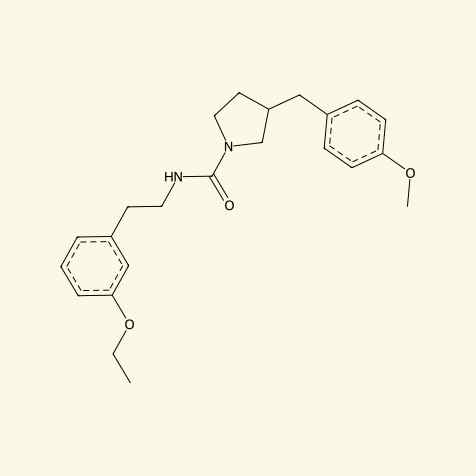 CCOc1cccc(CCNC(=O)N2CCC(Cc3ccc(OC)cc3)C2)c1